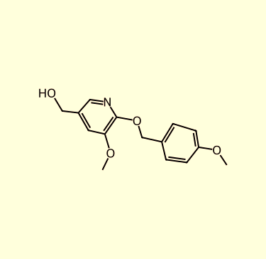 COc1ccc(COc2ncc(CO)cc2OC)cc1